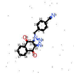 N#Cc1ccc(Cn2nnc3c2C(=O)c2ccccc2C3=O)cc1